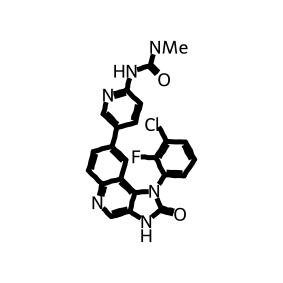 CNC(=O)Nc1ccc(-c2ccc3ncc4[nH]c(=O)n(-c5cccc(Cl)c5F)c4c3c2)cn1